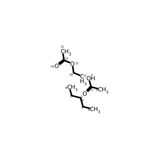 CC(=O)O.CCCCC.CCOC(C)=O